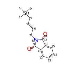 C[Si](C)(C)CC=CCN1C(=O)c2ccccc2C1=O